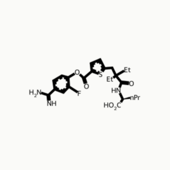 CCC[C@H](NC(=O)C(CC)(CC)Cc1ccc(C(=O)Oc2ccc(C(=N)N)cc2F)s1)C(=O)O